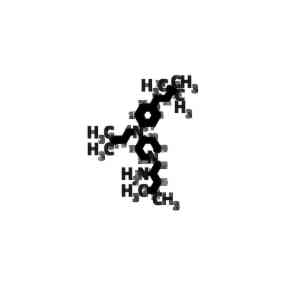 CC(C)=CCN(c1ccc(CCC(C)(C)C)cc1)C1CCN(C[C@H](N)CC(C)C)CC1